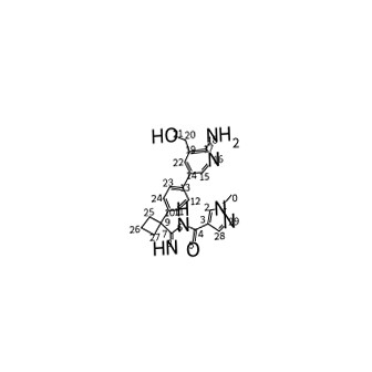 Cn1cc(C(=O)NC(=N)C2(c3ccc(-c4cnc(N)c(CO)c4)cc3)CCC2)cn1